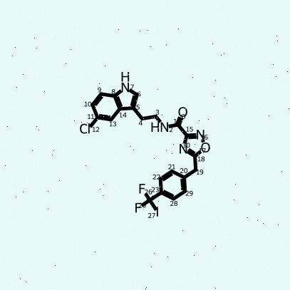 O=C(NCCc1c[nH]c2ccc(Cl)cc12)c1noc(Cc2ccc(C(F)(F)I)cc2)n1